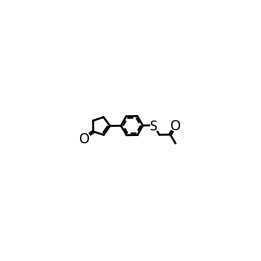 CC(=O)CSc1ccc(C2=CC(=O)CC2)cc1